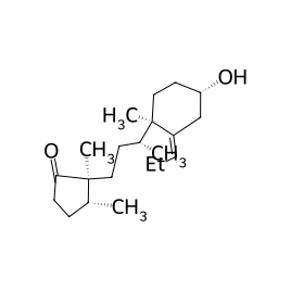 CC/C=C1/C[C@@H](O)CC[C@]1(C)[C@H](C)CC[C@]1(C)C(=O)CC[C@H]1C